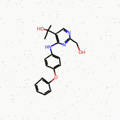 CC(C)(O)c1cnc(CO)nc1Nc1ccc(Oc2ccccc2)cc1